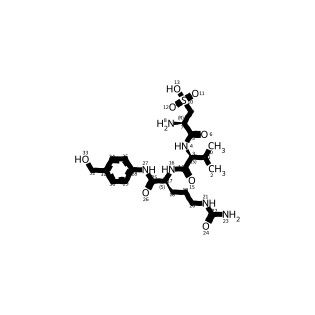 CC(C)[C@H](NC(=O)[C@@H](N)CS(=O)(=O)O)C(=O)N[C@@H](CCCNC(N)=O)C(=O)Nc1ccc(CO)cc1